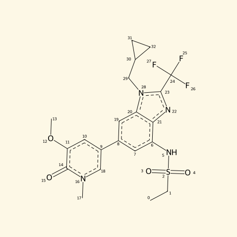 CCS(=O)(=O)Nc1cc(-c2cc(OC)c(=O)n(C)c2)cc2c1nc(C(F)(F)F)n2CC1CC1